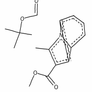 CC(C)(C)OC=O.COC(=O)c1c(C)n2c3cccc2c13